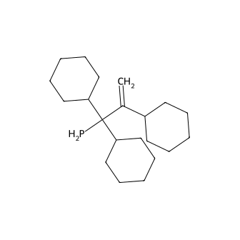 C=C(C1CCCCC1)C(P)(C1CCCCC1)C1CCCCC1